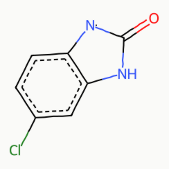 O=C1[N]c2ccc(Cl)cc2N1